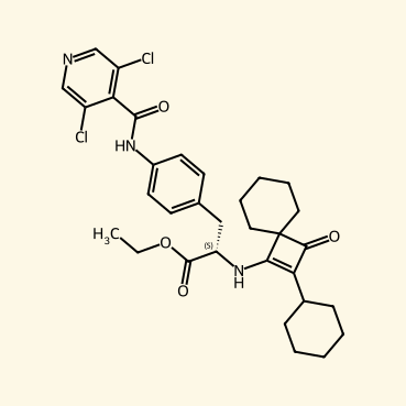 CCOC(=O)[C@H](Cc1ccc(NC(=O)c2c(Cl)cncc2Cl)cc1)NC1=C(C2CCCCC2)C(=O)C12CCCCC2